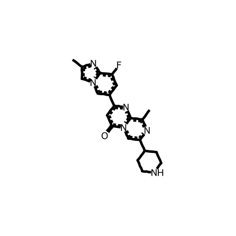 Cc1cn2cc(-c3cc(=O)n4cc(C5CCNCC5)nc(C)c4n3)cc(F)c2n1